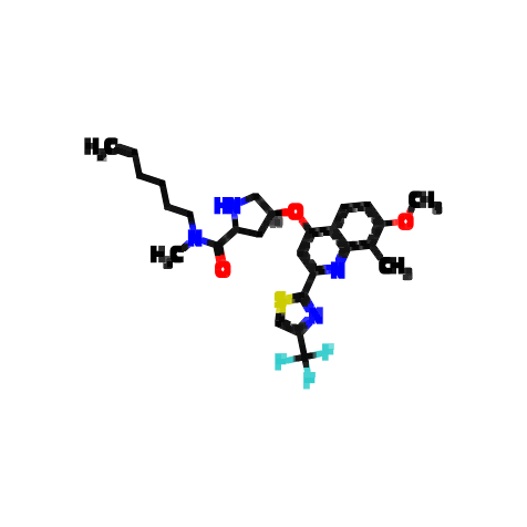 C=CCCCCN(C)C(=O)C1C[C@H](Oc2cc(-c3nc(C(F)(F)F)cs3)nc3c(C)c(OC)ccc23)CN1